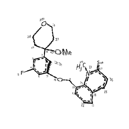 COC1(c2cc(F)cc(OCc3cccc4ccc(=S)n(C)c34)c2)CCOCC1